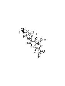 CN[C@H]1C[C@@]2(C)CN(c3c(F)cc4c(=O)c(C(=O)O)cn(C5CC5)c4c3Cl)C[C@@H]12